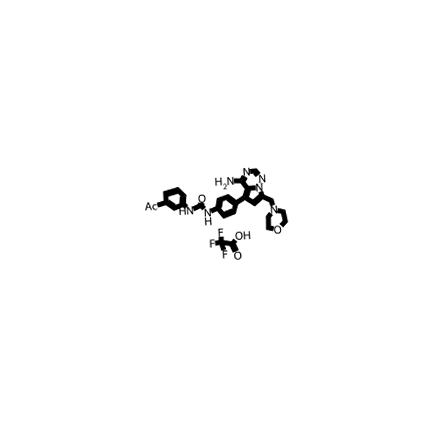 CC(=O)c1cccc(NC(=O)Nc2ccc(-c3cc(CN4CCOCC4)n4ncnc(N)c34)cc2)c1.O=C(O)C(F)(F)F